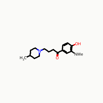 CNc1cc(C(=O)CCCN2CCC(C)CC2)ccc1O